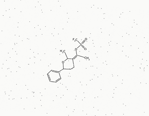 CC(OS(=O)(=O)C(F)(F)F)=C1CCC(c2ccccc2)OC1C